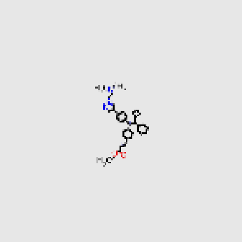 CCOC(=O)/C=C/c1ccc(/C(=C(\c2ccccc2)C2CCC2)c2ccc(-c3cnn(CCN(C)C)c3)cc2)cc1